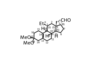 CC[C@H]1C[C@]2(C)[C@H](C=O)CC[C@H]2[C@@H]2CCC3=C(CCC(OC)(OC)C3)[C@@H]12